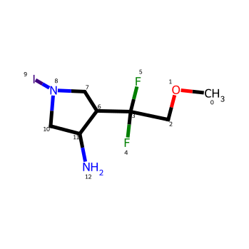 COCC(F)(F)C1CN(I)CC1N